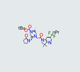 CCCC(F)(F)c1cnc2c(c1)N(C(=O)CN1C[C@@H](C)N(C(=O)OC(C)(C)C)C[C@@H]1CN1CCCC1=O)CC2(C)C